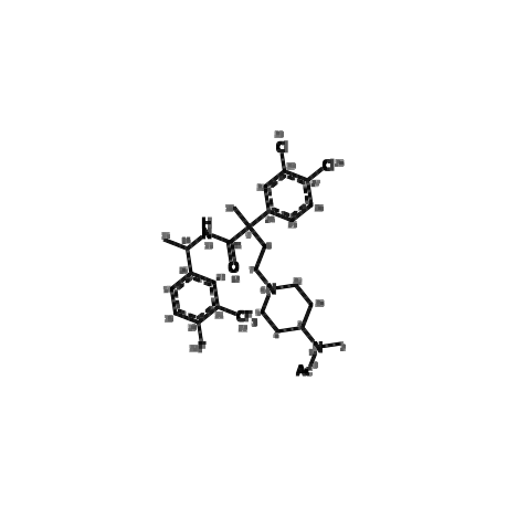 CC(=O)N(C)C1CCN(CCC(C)(C(=O)NC(C)c2ccc(F)c(C(F)(F)F)c2)c2ccc(Cl)c(Cl)c2)CC1